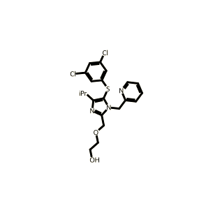 CC(C)c1nc(COCCO)n(Cc2ccccn2)c1Sc1cc(Cl)cc(Cl)c1